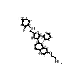 NCCOc1cnc2ccc(-c3[nH]c(CNc4ccc(F)cc4F)nc3-c3ccccn3)cc2c1